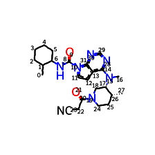 CC1CCCCC1NC(=O)n1ccc2c(N(C)[C@H]3CN(C(=O)CC#N)CC[C@H]3C)ncnc21